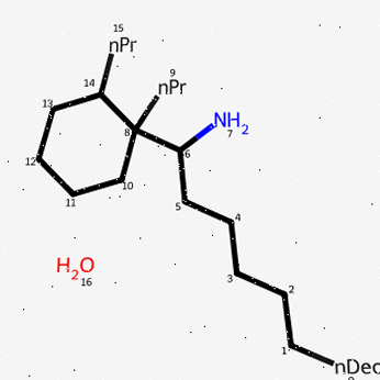 CCCCCCCCCCCCCCCC(N)C1(CCC)CCCCC1CCC.O